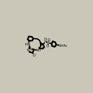 CC(=O)Nc1ccc(S(=O)(=O)Nc2ccc3cc2CCc2cccc(c2)Nc2ncc(Cl)c(n2)N3)cc1